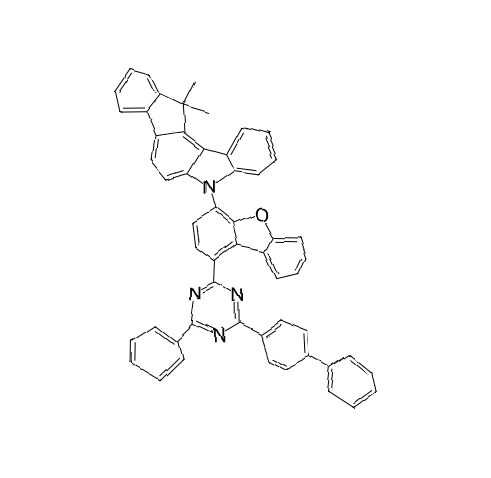 CC1(C)c2ccccc2-c2ccc3c(c21)c1ccccc1n3-c1ccc(-c2nc(-c3ccccc3)nc(-c3ccc(-c4ccccc4)cc3)n2)c2c1oc1ccccc12